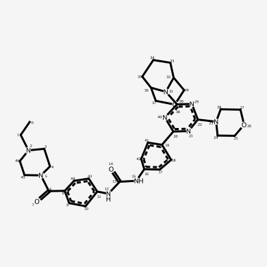 CCN1CCN(C(=O)c2ccc(NC(=O)Nc3ccc(-c4nc(N5CCOCC5)nc(N5C6CCCC5COC6)n4)cc3)cc2)CC1